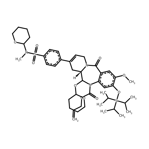 C=CCOC(=O)N1c2cc(O[Si](C(C)C)(C(C)C)C(C)C)c(OC)cc2C(=O)N2CC=C(c3ccc(S(=O)(=O)N(C)C4CCCCO4)cc3)C[C@H]2C1OC1CCCCO1